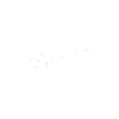 COc1cc(Nc2ncc(C(F)(F)F)c(N3OCCC3c3ccccc3)n2)ccc1N1CCC(N2CC(N(C)C)C2)CC1